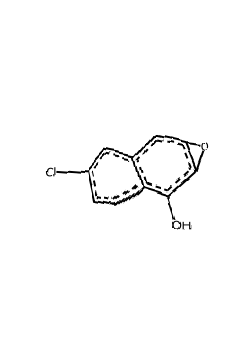 Oc1c2c(cc3cc(Cl)ccc13)O2